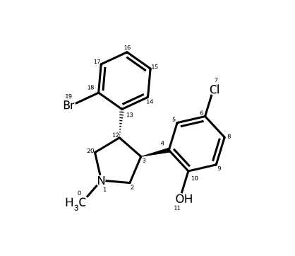 CN1C[C@H](c2cc(Cl)ccc2O)[C@@H](c2ccccc2Br)C1